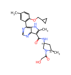 Cc1ccc(OCC2CC2)c(-c2ncnc3c(C(=O)N[C@H]4C[C@@H](C)N(C(=O)CO)C4)c(C)[nH]c23)c1